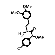 COc1ccc(CCN(C)C(=O)C(OC)c2ccc(Cl)cc2)cc1OC